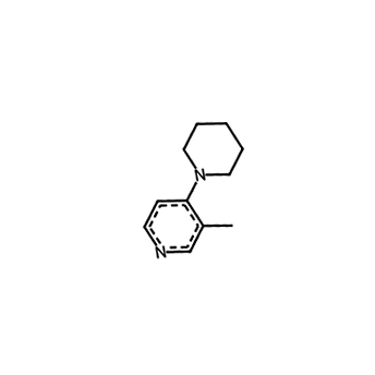 Cc1cnccc1N1CCCCC1